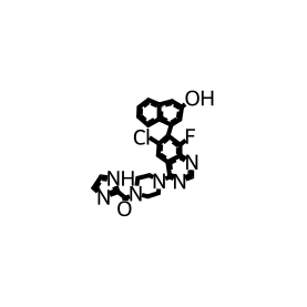 O=C(c1ncc[nH]1)N1CCN(c2ncnc3c(F)c(-c4cc(O)cc5ccccc45)c(Cl)cc23)CC1